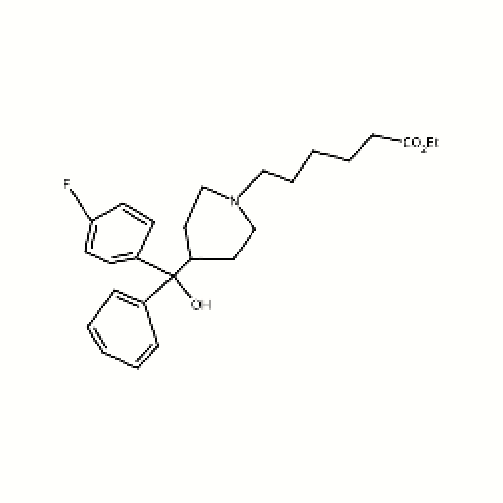 CCOC(=O)CCCCCN1CCC(C(O)(c2ccccc2)c2ccc(F)cc2)CC1